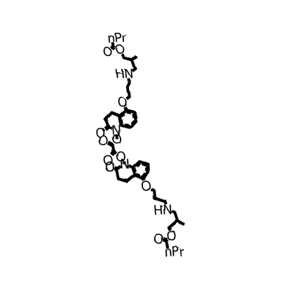 CCCC(=O)OCC(C)CNCCCOc1cccc2c1CCC(=O)N2OC(=O)C(=O)ON1C(=O)CCc2c(OCCCNCC(C)COC(=O)CCC)cccc21